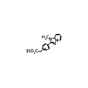 CCOC(=O)C[n+]1ccc(-c2nn3ccccc3[n+]2C)cc1